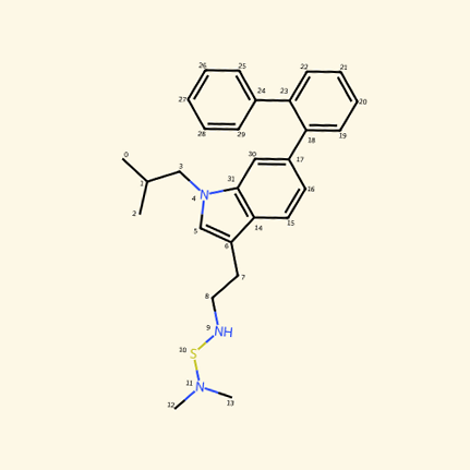 CC(C)Cn1cc(CCNSN(C)C)c2ccc(-c3ccccc3-c3ccccc3)cc21